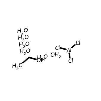 CCO.O.O.O.O.O.O.[Cl][Al]([Cl])[Cl]